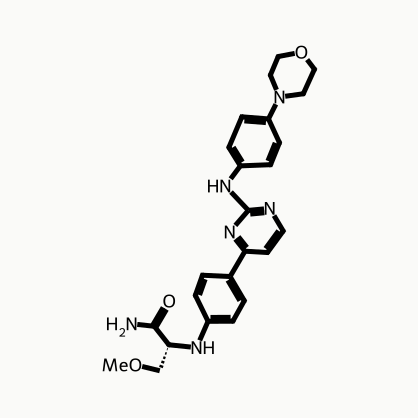 COC[C@@H](Nc1ccc(-c2ccnc(Nc3ccc(N4CCOCC4)cc3)n2)cc1)C(N)=O